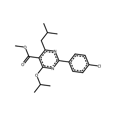 COC(=O)c1c(CC(C)C)nc(-c2ccc(Cl)cc2)nc1OC(C)C